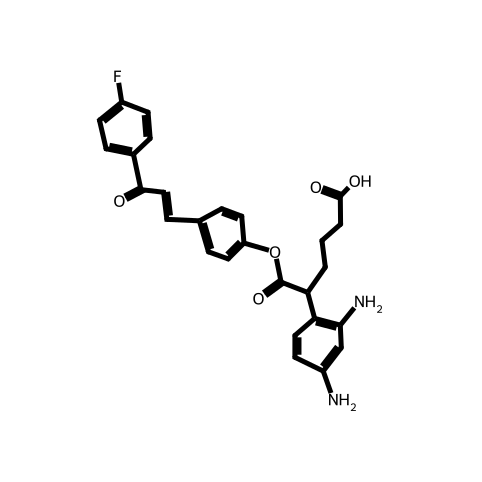 Nc1ccc(C(CCCC(=O)O)C(=O)Oc2ccc(C=CC(=O)c3ccc(F)cc3)cc2)c(N)c1